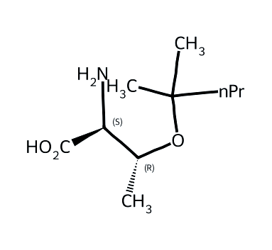 CCCC(C)(C)O[C@H](C)[C@H](N)C(=O)O